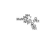 CCC(=O)OC[C@H]1O[C@@H](n2cnc3c(NC)nc(N)nc32)[C@](C)(F)[C@@H]1OOC(=O)C(C)(C)CC